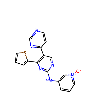 [O-][n+]1cccc(Nc2ncc(-c3ccncn3)c(-c3cccs3)n2)c1